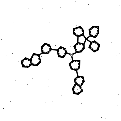 c1ccc(C2(c3ccccc3)c3ccccc3-c3cc(N(c4ccc(-c5cccc(-c6ccc7ccccc7c6)c5)cc4)c4ccc(-c5ccc6ccccc6c5)cc4)ccc32)cc1